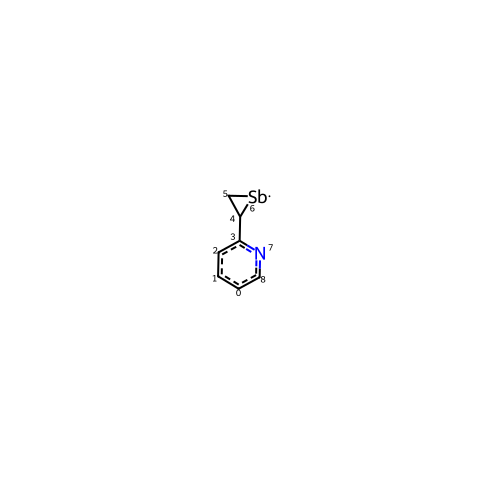 c1ccc([CH]2[CH2][Sb]2)nc1